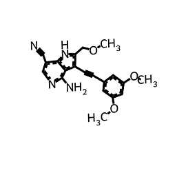 COCc1[nH]c2c(C#N)cnc(N)c2c1C#Cc1cc(OC)cc(OC)c1